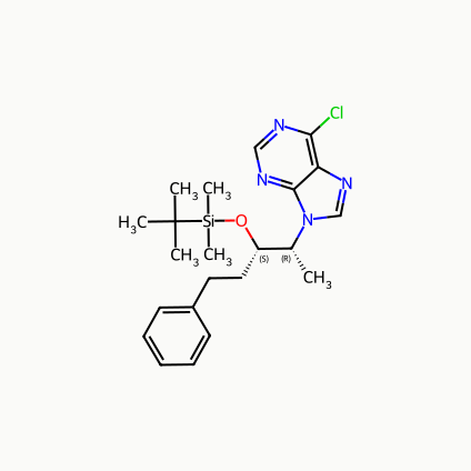 C[C@H]([C@H](CCc1ccccc1)O[Si](C)(C)C(C)(C)C)n1cnc2c(Cl)ncnc21